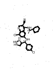 C[C@@H](Nc1c(C#N)cnc2c(Cl)cc(N[C@H](C3=CNNN3)c3ccc(Cl)cc3)cc12)c1ccccc1